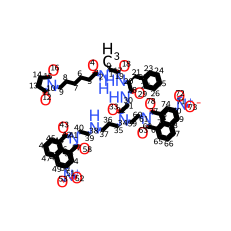 C[C@H](NC(=O)CCCCCN1C(=O)C=CC1=O)C(=O)N[C@@H](Cc1ccccc1)C(=O)NCC(=O)N(CCCNCCN1C(=O)c2cccc3cc([N+](=O)[O-])cc(c23)C1=O)CCN1C(=O)c2cccc3cc([N+](=O)[O-])cc(c23)C1=O